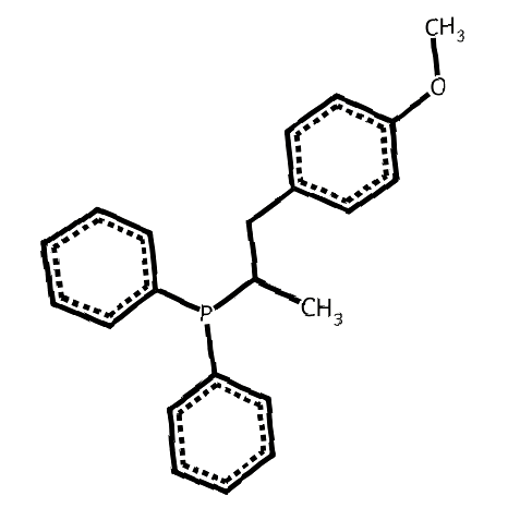 COc1ccc(CC(C)P(c2ccccc2)c2ccccc2)cc1